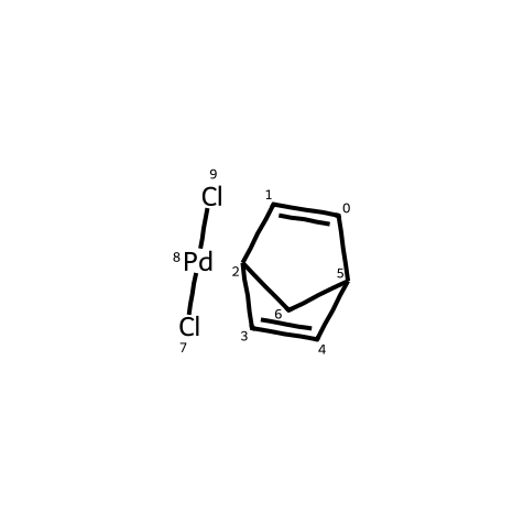 C1=CC2C=CC1C2.[Cl][Pd][Cl]